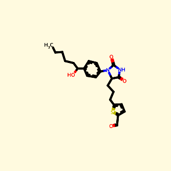 CCCCCC(O)c1ccc(N2C(=O)NC(=O)C2CCCc2ccc(C=O)s2)cc1